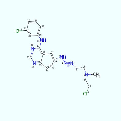 CN(CCCl)CC/N=N/Nc1ccc2ncnc(Nc3cccc(Cl)c3)c2c1